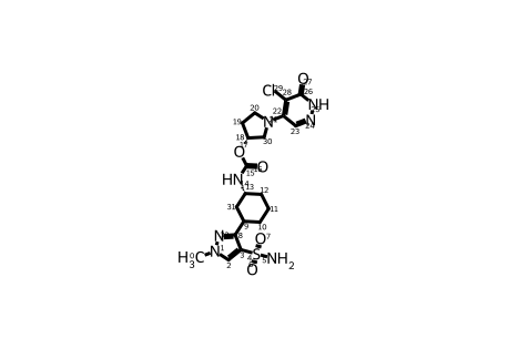 Cn1cc(S(N)(=O)=O)c(C2CCC[C@@H](NC(=O)O[C@@H]3CCN(c4cn[nH]c(=O)c4Cl)C3)C2)n1